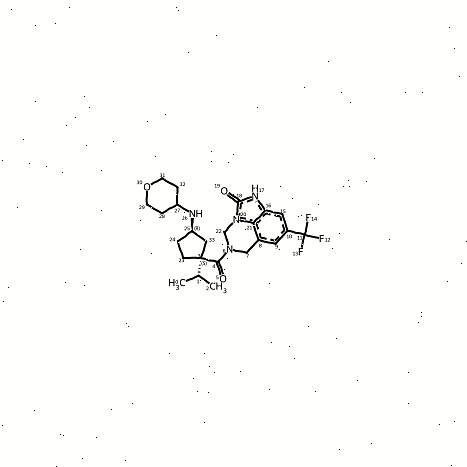 CC(C)[C@]1(C(=O)N2Cc3cc(C(F)(F)F)cc4[nH]c(=O)n(c34)C2)CC[C@@H](NC2CCOCC2)C1